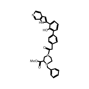 COC(=O)C1CN(C(=O)Cc2ccc(-c3cccc(-c4cc5ccncc5[nH]4)c3O)cc2)CCN1Cc1ccccc1